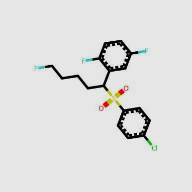 O=S(=O)(c1ccc(Cl)cc1)C(CCCCF)c1cc(F)ccc1F